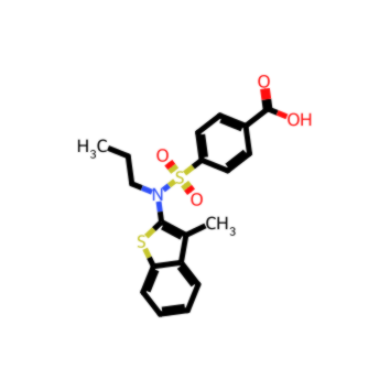 CCCN(c1sc2ccccc2c1C)S(=O)(=O)c1ccc(C(=O)O)cc1